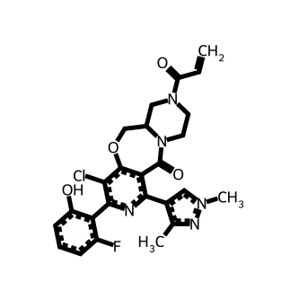 C=CC(=O)N1CCN2C(=O)c3c(-c4cn(C)nc4C)nc(-c4c(O)cccc4F)c(Cl)c3OCC2C1